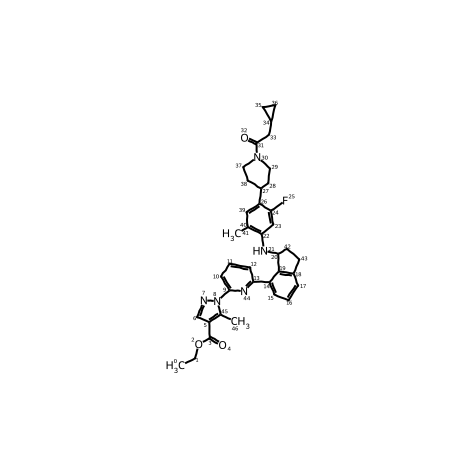 CCOC(=O)c1cnn(-c2cccc(-c3cccc4c3C(Nc3cc(F)c(C5CCN(C(=O)CC6CC6)CC5)cc3C)CC4)n2)c1C